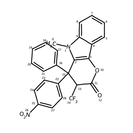 Cn1c2c(c3ccccc31)OC(=O)C(C(F)(F)F)C2(c1ccccc1)c1ccc([N+](=O)[O-])cc1